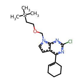 C[Si](C)(C)CCOCn1ccc2c(C3=CCCCC3)nc(Cl)nc21